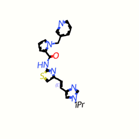 CC(C)n1cnc(/C=C/c2csc(NC(=O)c3cccn3Cc3cccnc3)n2)c1